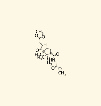 COC(=O)CNC(=O)[C@@H]1CC[C@@](C)(C(=O)NCC(=O)OC)C1(C)C